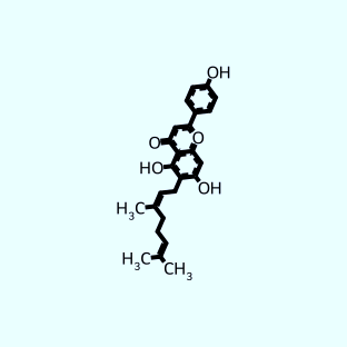 CC(C)=CCCC(C)=CCc1c(O)cc2oc(-c3ccc(O)cc3)cc(=O)c2c1O